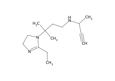 C#CC(C)NCCC(C)(C)N1CCN=C1CC